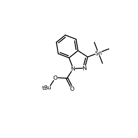 CC(C)(C)OC(=O)n1n[c]([Sn]([CH3])([CH3])[CH3])c2ccccc21